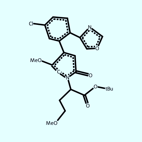 COCCC(C(=O)OC(C)(C)C)n1cc(OC)c(-c2cc(Cl)ccc2-c2cocn2)cc1=O